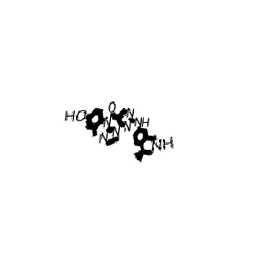 Cc1cc(O)ccc1-n1c(=O)c2cnc(Nc3ccc4c(c3)CNCC43CC3)nc2n2ccnc12